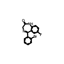 O=C1CN=C(c2ccccc2Br)c2cc(F)ccc2N1